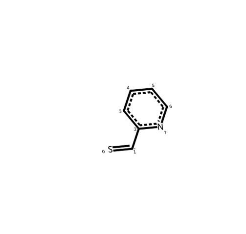 S=[C]c1ccccn1